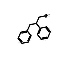 CC(C)CC(Cc1ccccc1)c1ccccc1